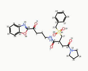 O=C(CCCNC(=O)C(CC(=O)N1CCCC1)CS(=O)(=O)Cc1ccccc1)c1nc2ccccc2o1